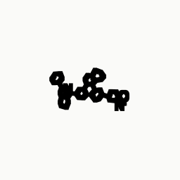 c1ccc(-c2cc3ccccc3c(-c3cccc(-c4ccc5ccccc5c4-c4cccc(-c5ccc6ocnc6c5)c4)c3)n2)cc1